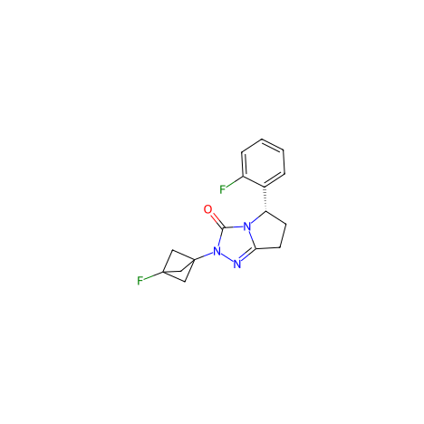 O=c1n(C23CC(F)(C2)C3)nc2n1[C@H](c1ccccc1F)CC2